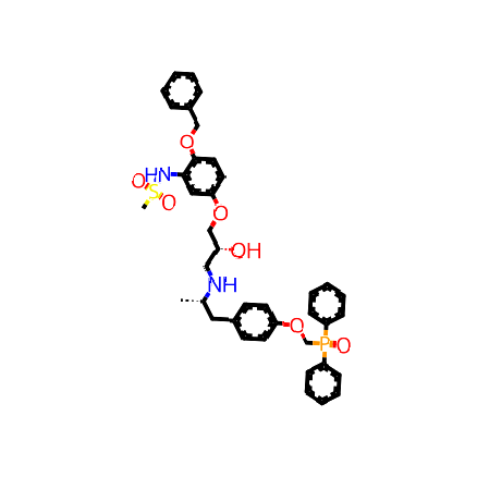 C[C@@H](Cc1ccc(OCP(=O)(c2ccccc2)c2ccccc2)cc1)NC[C@@H](O)COc1ccc(OCc2ccccc2)c(NS(C)(=O)=O)c1